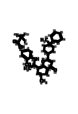 Cc1cc(C(C)Nc2ccccc2C(=O)O)c2oc(N3CCC(C)(c4ccccc4)CC3)cc(=O)c2c1.O=C(O)C(F)(F)F